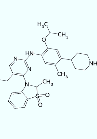 Cc1cc(Nc2ncc(CI)c(N3c4ccccc4S(=O)(=O)C3C)n2)c(OC(C)C)cc1C1CCNCC1